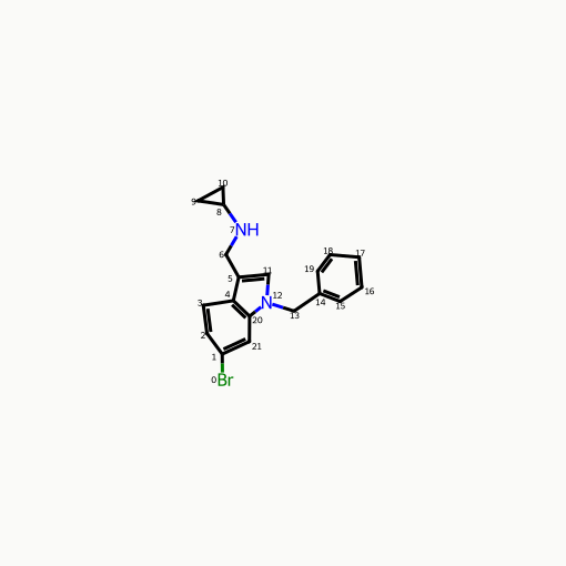 Brc1ccc2c(CNC3CC3)cn(Cc3ccccc3)c2c1